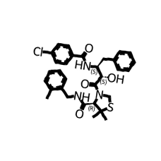 Cc1ccccc1CNC(=O)[C@H]1N(C(=O)[C@@H](O)[C@H](Cc2ccccc2)NC(=O)c2ccc(Cl)cc2)CSC1(C)C